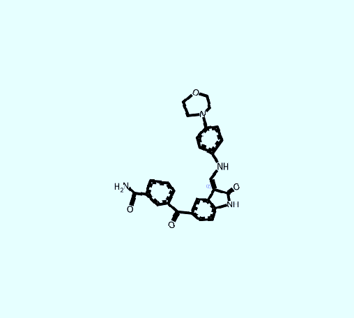 NC(=O)c1cccc(C(=O)c2ccc3c(c2)/C(=C/Nc2ccc(N4CCOCC4)cc2)C(=O)N3)c1